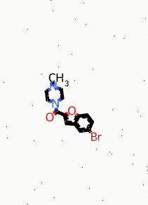 CN1CCN(C(=O)c2cc3cc(Br)ccc3o2)CC1